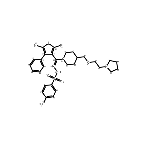 Cc1ccc(S(=O)(=O)NN=C(c2c(Br)sc(Br)c2-c2ccccc2)N2CCC(COCCN3CCCC3)CC2)cc1